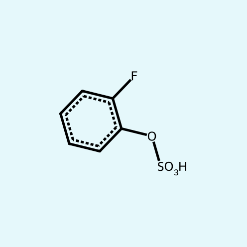 O=S(=O)(O)Oc1ccccc1F